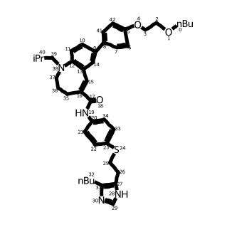 CCCCOCCOc1ccc(-c2ccc3c(c2)C=C(C(=O)Nc2ccc(SCCc4[nH]cnc4CCCC)cc2)CCCN3CC(C)C)cc1